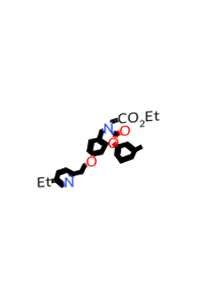 CCOC(=O)CN(Cc1ccc(OCCc2ccc(CC)cn2)cc1)C(=O)Oc1cccc(C)c1